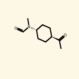 CC(=O)[C@H]1CC[C@H](N(C)C=O)CC1